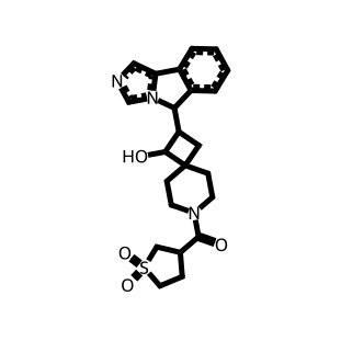 O=C(C1CCS(=O)(=O)C1)N1CCC2(CC1)CC(C1c3ccccc3-c3cncn31)C2O